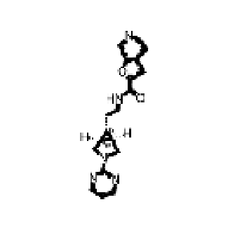 O=C(NCC[C@@H]1[C@H]2CN(c3ncccn3)C[C@@H]12)c1cc2ccncc2o1